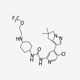 CC1(C)Cc2c(-c3cc(NC(=O)NC4CCC(NCCOC(F)(F)F)CC4)ncc3Cl)cnn2C1